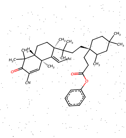 CC(=O)/C=C1/[C@@]2(C)C=C(C#N)C(=O)C(C)(C)[C@@H]2CC[C@@]1(C)C(C)(C)CC[C@@]1(CCC(=O)Oc2ccccc2)CCC(C)(C)CC1C